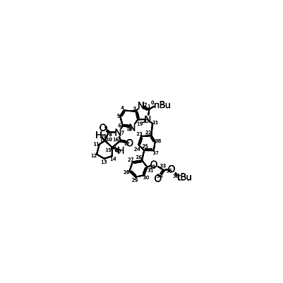 CCCCc1nc2ccc(N3C(=O)[C@H]4CCCC[C@H]4C3=O)nc2n1Cc1ccc(-c2ccccc2OC(=O)OC(C)(C)C)cc1